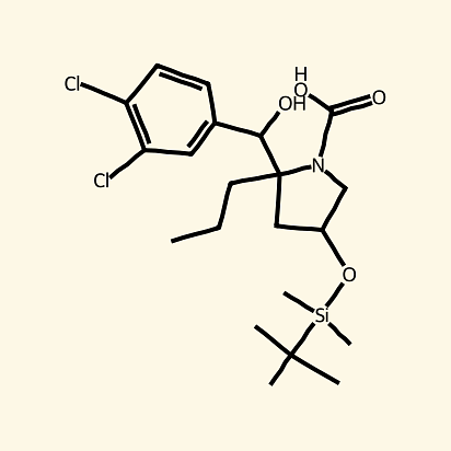 CCCC1(C(O)c2ccc(Cl)c(Cl)c2)CC(O[Si](C)(C)C(C)(C)C)CN1C(=O)O